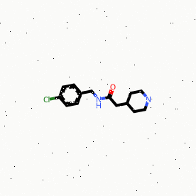 O=C(CC1CC[N]CC1)NCc1ccc(Cl)cc1